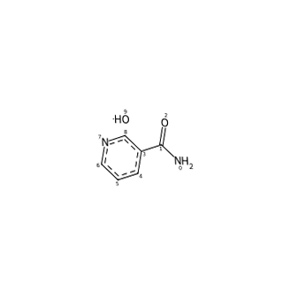 NC(=O)c1cccnc1.[OH]